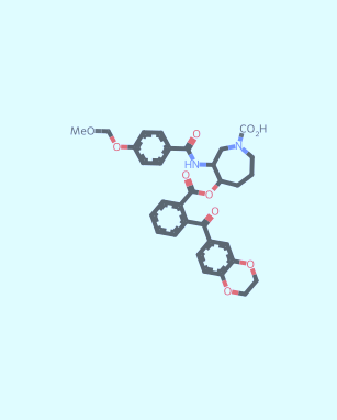 COCOc1ccc(C(=O)NC2CN(C(=O)O)CCCC2OC(=O)c2ccccc2C(=O)c2ccc3c(c2)OCCO3)cc1